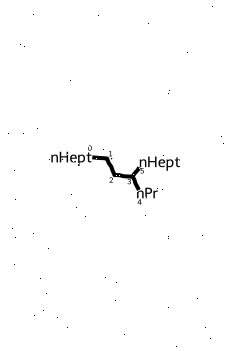 CCCCCCC[CH]CC(CCC)CCCCCCC